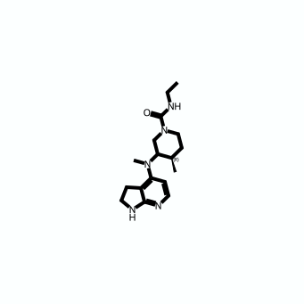 CCNC(=O)N1CC[C@@H](C)C(N(C)c2ccnc3c2CCN3)C1